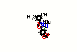 Cc1cc(C)cc(C(=O)N(NC(=O)c2ccc3c(c2Cl)OCO3)C(C)(C)C)c1